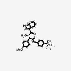 COc1ccc(C(C(=O)Nc2ccc([Si](C)(C)C)cc2)N(C)C(=O)c2c[nH]c3ncccc23)cc1